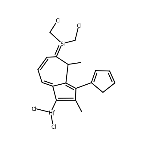 CC1=[C]([Hf]([Cl])[Cl])C2=CC=CC(=[Si](CCl)CCl)C(C)C2=C1C1=CC=CC1